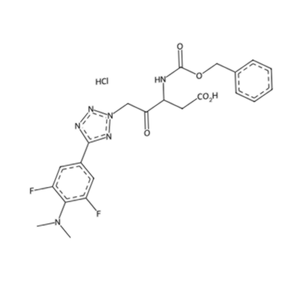 CN(C)c1c(F)cc(-c2nnn(CC(=O)C(CC(=O)O)NC(=O)OCc3ccccc3)n2)cc1F.Cl